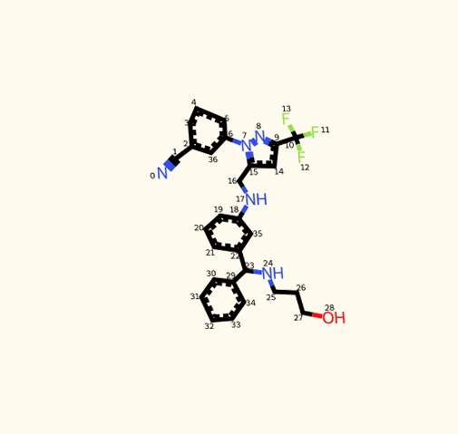 N#Cc1cccc(-n2nc(C(F)(F)F)cc2CNc2cccc(C(NCCCO)c3ccccc3)c2)c1